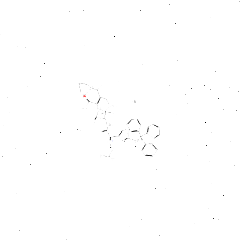 CC(C1=C(C(=O)O)N2C(=O)C(NC(=O)/C(=N/OC(F)F)c3csc(NC(c4ccccc4)(c4ccccc4)c4ccccc4)n3)[C@H]2[S+]([O-])C1)N1CCCC1.I